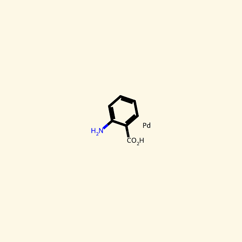 Nc1ccccc1C(=O)O.[Pd]